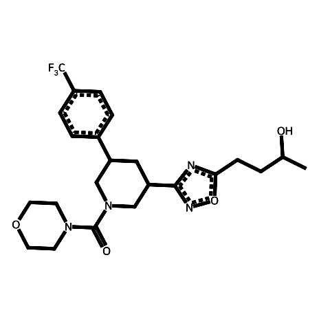 CC(O)CCc1nc(C2CC(c3ccc(C(F)(F)F)cc3)CN(C(=O)N3CCOCC3)C2)no1